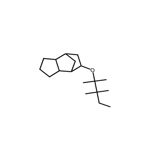 CCC(C)(C)C(C)(C)OC1CC2CC1C1CCCC21